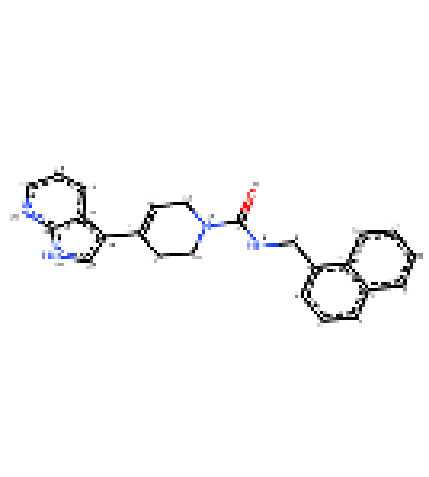 O=C(NCc1cccc2ccccc12)N1CC=C(c2c[nH]c3ncccc23)CC1